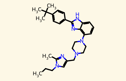 CCCn1cc(CN2CCN(c3cccc4[nH]c(-c5ccc(C(C)(C)C)cc5)nc34)CC2)nc1C